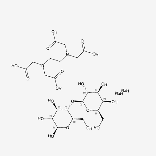 O=C(O)CN(CCN(CC(=O)O)CC(=O)O)CC(=O)O.OC[C@H]1O[C@@H](O[C@H]2[C@H](O)[C@@H](O)[C@H](O)O[C@@H]2CO)[C@H](O)[C@@H](O)[C@H]1O.[NaH].[NaH]